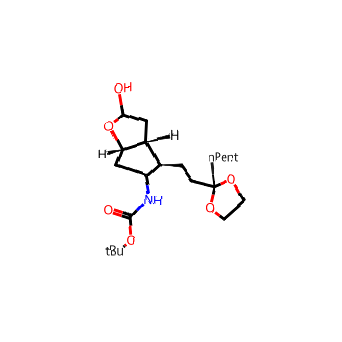 CCCCCC1(CC[C@H]2C(NC(=O)OC(C)(C)C)C[C@@H]3OC(O)C[C@@H]32)OCCO1